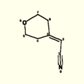 N#CC=C1CCOCC1